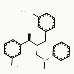 COc1cccc(C(=O)[C@H](CN(C)C)[C@@H](c2ccccc2)c2cccc(OC)c2)c1.Cl